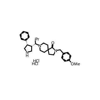 COc1ccc(CN2CCC3(CCN(C(C(C)C)[C@@H]4CNC[C@@H]4c4ccccc4)CC3)C2=O)cc1.Cl.Cl